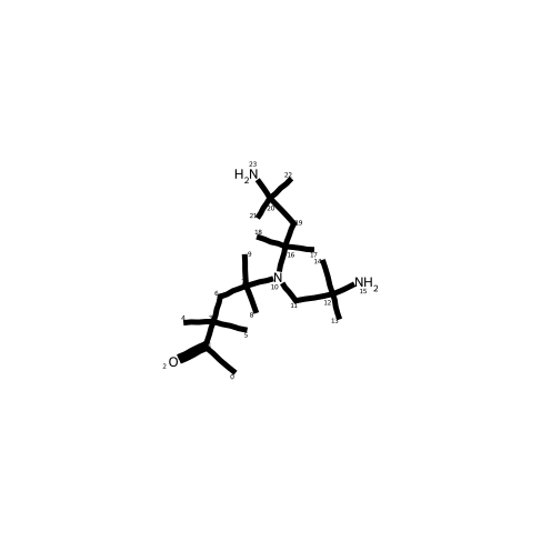 CC(=O)C(C)(C)CC(C)(C)N(CC(C)(C)N)C(C)(C)CC(C)(C)N